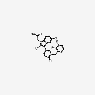 Cc1c(-c2ccc(=O)n(Cc3cccc(F)c3F)c2)c2cc(Cl)ccc2n1CC(=O)O